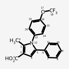 Cc1c(C(=O)O)cc(-c2ccccc2)n1-c1ccc(OC(F)(F)F)cc1